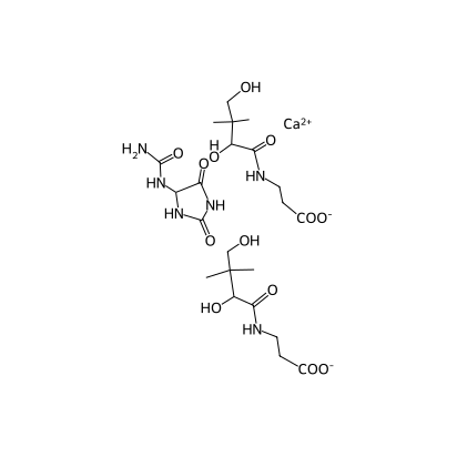 CC(C)(CO)C(O)C(=O)NCCC(=O)[O-].CC(C)(CO)C(O)C(=O)NCCC(=O)[O-].NC(=O)NC1NC(=O)NC1=O.[Ca+2]